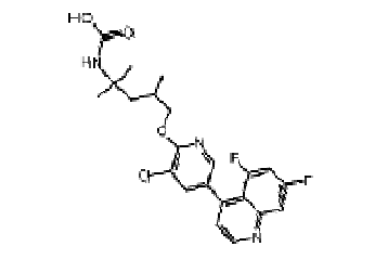 CC(COc1ncc(-c2ccnc3cc(F)cc(F)c23)cc1Cl)CC(C)(C)NC(=O)O